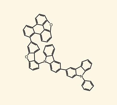 c1ccc(-n2c3ccccc3c3cc(-c4ccc5c(c4)c4ccccc4n5-c4cccc5oc6cc(-c7cccc8c9cccc%10oc%11cccc(c78)c%11c%109)ccc6c45)ccc32)cc1